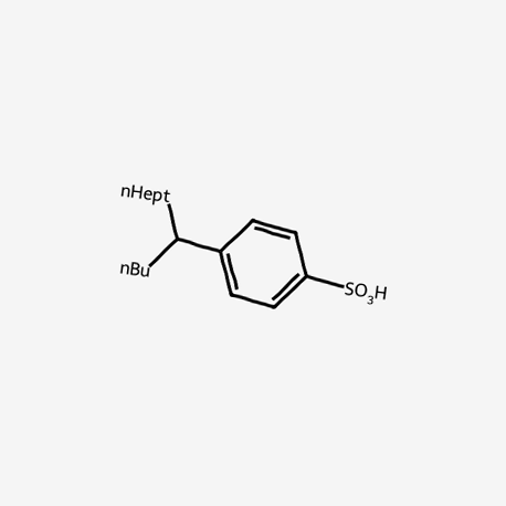 CCCCCCCC(CCCC)c1ccc(S(=O)(=O)O)cc1